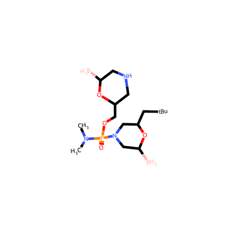 BC1CNCC(COP(=O)(N(C)C)N2CC(B)OC(CC(C)(C)C)C2)O1